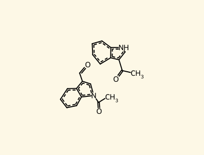 CC(=O)c1c[nH]c2ccccc12.CC(=O)n1cc(C=O)c2ccccc21